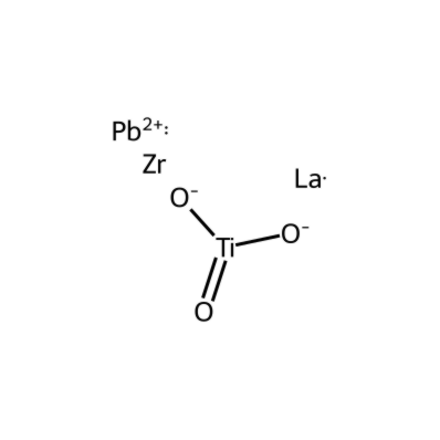 [La].[O]=[Ti]([O-])[O-].[Pb+2].[Zr]